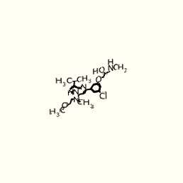 CNC[C@H](O)COc1cc(Cl)cc(-c2cc(N(C)CCOC)n3ncc(C(C)C)c3n2)c1